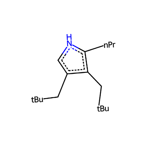 CCCc1[nH]cc(CC(C)(C)C)c1CC(C)(C)C